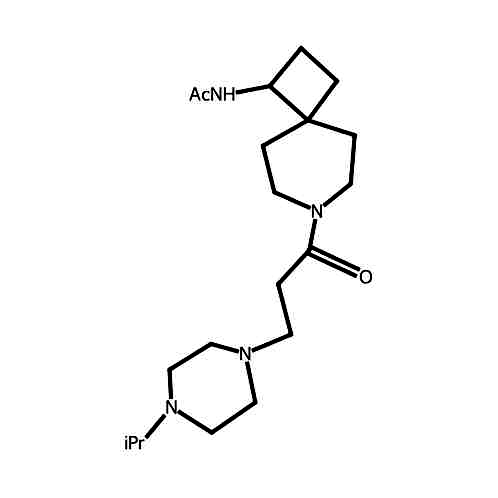 CC(=O)NC1CCC12CCN(C(=O)CCN1CCN(C(C)C)CC1)CC2